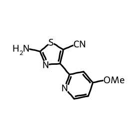 COc1ccnc(-c2nc(N)sc2C#N)c1